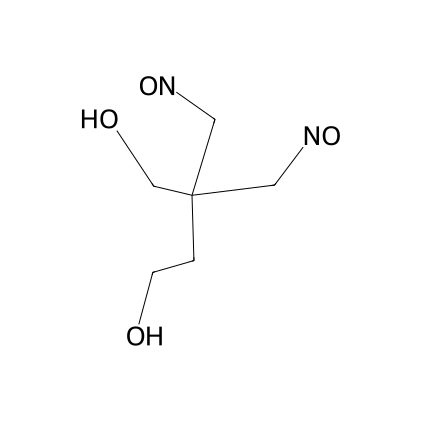 O=NCC(CO)(CCO)CN=O